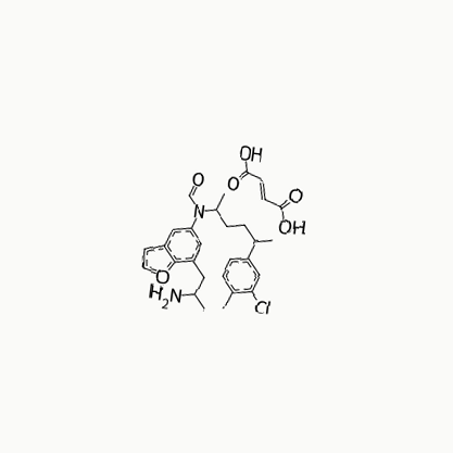 Cc1ccc(C(C)CCC(C)N(C=O)c2cc(CC(C)N)c3occc3c2)cc1Cl.O=C(O)/C=C/C(=O)O